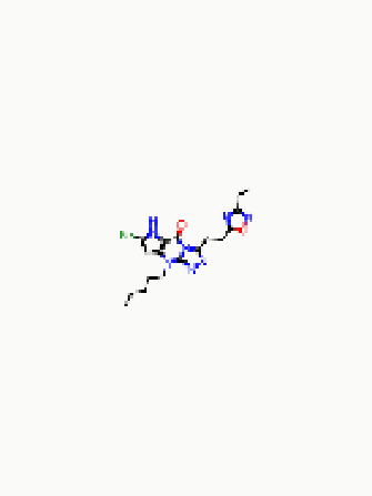 CCCCCn1c2cc(Br)[nH]c2c(=O)n2c(CCc3nc(CC)no3)nnc12